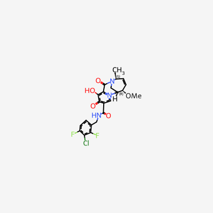 CO[C@@H]1C=C[C@H](C)N2C[C@H]1n1cc(C(=O)NCc3ccc(F)c(Cl)c3F)c(=O)c(O)c1C2=O